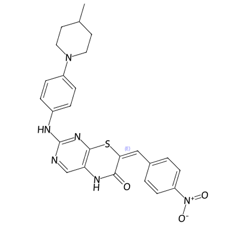 CC1CCN(c2ccc(Nc3ncc4c(n3)S/C(=C/c3ccc([N+](=O)[O-])cc3)C(=O)N4)cc2)CC1